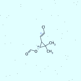 CC1(C)C(/C=C/Cl)[C@H]1OC=O